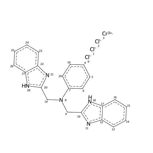 [Cl-].[Cl-].[Cl-].[Cr+3].c1ccc(N(Cc2nc3ccccc3[nH]2)Cc2nc3ccccc3[nH]2)cc1